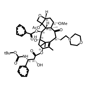 CO[C@H]1C[C@H]2OCC2(OC(C)=O)[C@H]2[C@H](OC(=O)c3ccccc3)[C@]3(O)C[C@H](OC(=O)[C@H](O)[C@@H](NC(=O)OC(C)(C)C)c4ccccc4)C(C)=C([C@@H](CCN4CCOCC4)C(=O)[C@]12C)C3(C)C